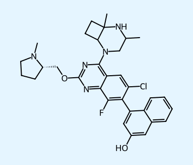 CC1CN(c2nc(OC[C@@H]3CCCN3C)nc3c(F)c(-c4cc(O)cc5ccccc45)c(Cl)cc23)C2CCC2(C)N1